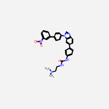 CN(C)CCNC(=O)Nc1ccc(-c2ccc3ncn(-c4ccc(-c5cccc([N+](=O)[O-])c5)cc4)c3c2)cc1